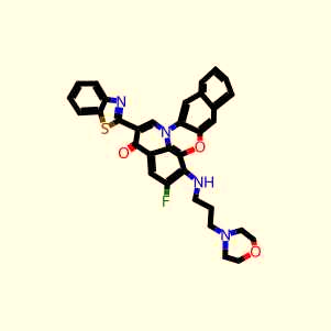 O=c1c(-c2nc3ccccc3s2)cn2c3c(c(NCCCN4CCOCC4)c(F)cc13)Oc1cc3ccccc3cc1-2